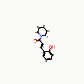 O=C(/C=C/c1ccccc1O)N1CCCCC1